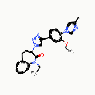 Cc1cn(-c2ccc(-c3cn([C@@H]4CCc5ccccc5N(CC(F)(F)F)C4=O)nn3)cc2OCC(F)(F)F)cn1